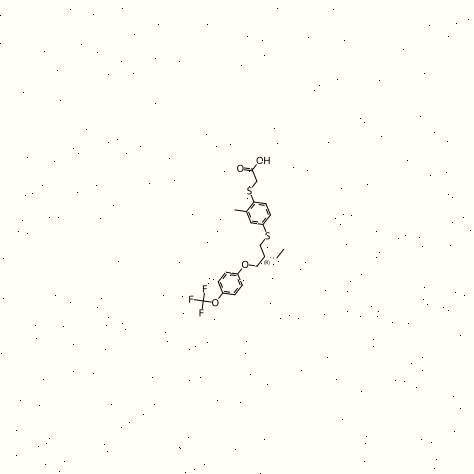 CC[C@H](COc1ccc(OC(F)(F)F)cc1)CSc1ccc(SCC(=O)O)c(C)c1